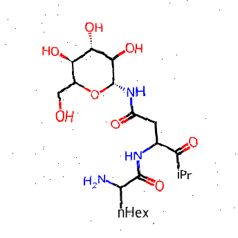 CCCCCCC(N)C(=O)NC(CC(=O)N[C@@H]1OC(CO)[C@@H](O)[C@H](O)C1O)C(=O)C(C)C